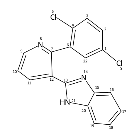 Clc1ccc(Cl)c(-c2ncccc2-c2nc3ccccc3[nH]2)c1